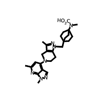 Cc1cc(N2CCc3c(c(C)nn3CC34CCC(N(C)C(=O)O)(CC3)CC4)C2)c2cnn(C)c2n1